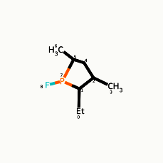 CCC1C(C)CC(C)P1F